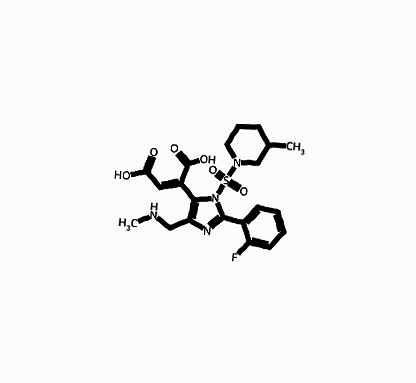 CNCc1nc(-c2ccccc2F)n(S(=O)(=O)N2CCCC(C)C2)c1/C(=C/C(=O)O)C(=O)O